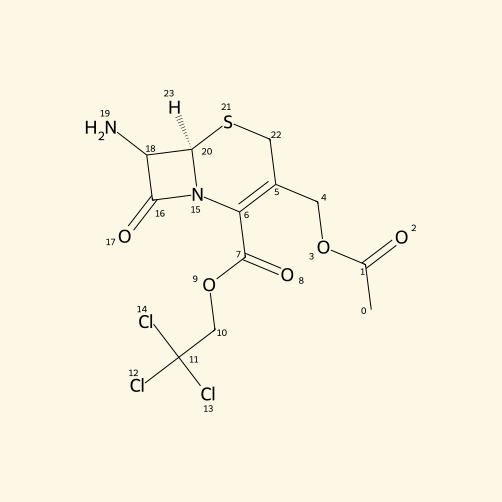 CC(=O)OCC1=C(C(=O)OCC(Cl)(Cl)Cl)N2C(=O)C(N)[C@H]2SC1